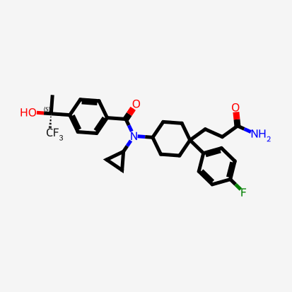 C[C@](O)(c1ccc(C(=O)N(C2CC2)C2CCC(CCC(N)=O)(c3ccc(F)cc3)CC2)cc1)C(F)(F)F